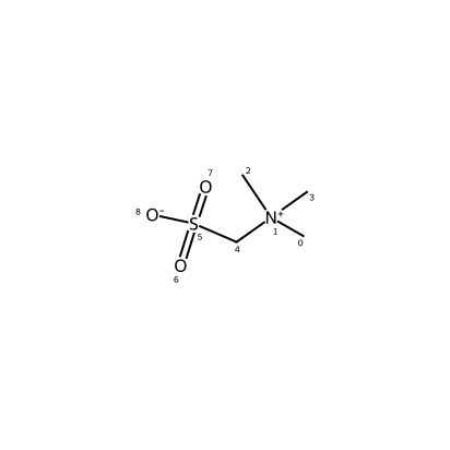 C[N+](C)(C)CS(=O)(=O)[O-]